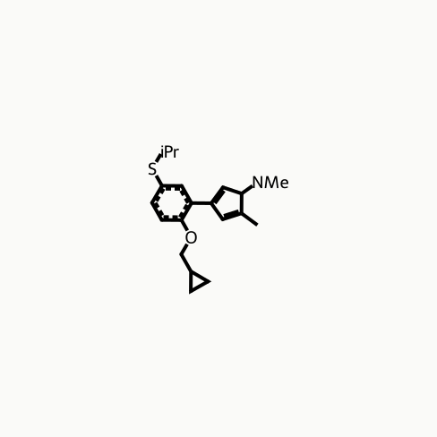 CNC1C=C(c2cc(SC(C)C)ccc2OCC2CC2)C=C1C